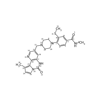 CNC(=O)c1ccc(N2CCN(Cc3cnc4c(c3)[nH]c(=O)n3ccc(C)c43)CC2)c(SC)c1